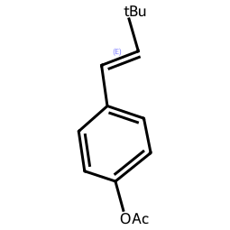 CC(=O)Oc1ccc(/C=C/C(C)(C)C)cc1